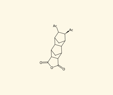 CC(=O)C1C2CC(C3C4CC(C5C(=O)OC(=O)C45)C23)[C@@H]1C(C)=O